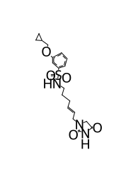 O=C1CN(C/C=C/CCCNS(=O)(=O)c2cccc(OCC3CC3)c2)C(=O)N1